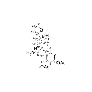 CC(=O)OC[C@H]1C[C@@H](OC(C)=O)CC[C@]1(C)[C@H]1CC[C@@]2(C)[C@@H](CC[C@@]2(O)c2ccco2)[C@@H]1CN